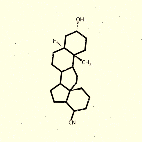 C[C@]12CC[C@@H](O)C[C@@H]1CCC1C3CCC4C(C#N)CCC[C@@]43CCC12